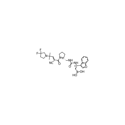 CC(C)(C=C(C#N)C(=O)N1CCC[C@@H]1CNC(=O)N[C@H](CB(O)O)c1coc2ccccc12)N1CCC(F)(F)C1